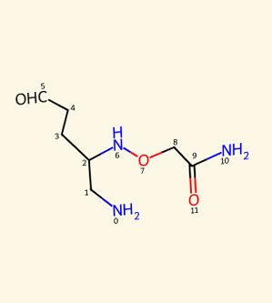 NCC(CCC=O)NOCC(N)=O